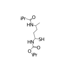 CC(CCC(S)NC(=O)OC(C)C)NC(=O)C(C)C